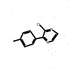 [CH2]c1ccc(-c2nccnc2Cl)cc1